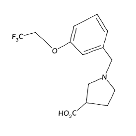 O=C(O)C1CCN(Cc2cccc(OCC(F)(F)F)c2)C1